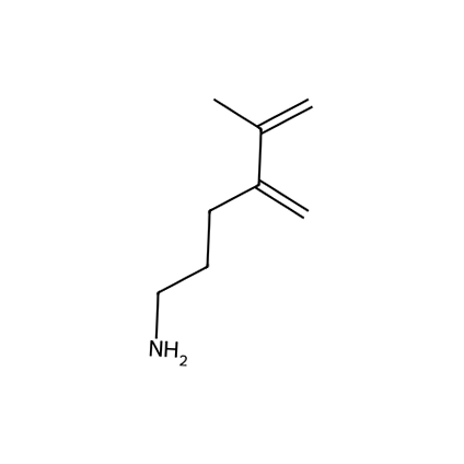 C=C(C)C(=C)CCCN